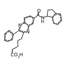 O=C(O)CCCCc1nc2cc(C(=O)NC3CCc4ccccc43)ccc2nc1-c1ccccc1